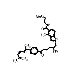 C=C(/C=C\C=C(/C)c1ccc(C(=O)CCCC(CCC)Cn2cc3c(C)c(C(=O)NCCOC)ccc3n2)cc1)C(F)(F)F